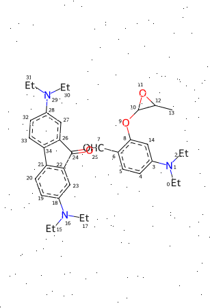 CCN(CC)c1ccc(C=O)c(OC2OC2C)c1.CCN(CC)c1ccc2c(c1)C(=O)c1cc(N(CC)CC)ccc1-2